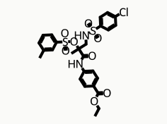 CCOC(=O)c1ccc(NC(=O)C(C)(CNS(=O)(=O)c2ccc(Cl)cc2)OS(=O)(=O)c2cccc(C)c2)cc1